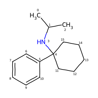 CC(C)NC1(c2ccccc2)CCCCC1